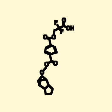 O=C(OCOC1CC2CC1C1CCCC21)c1ccc(C(=O)OCC(F)(F)C(=O)O)cc1